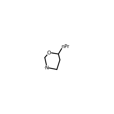 CCCC1CC[N]CO1